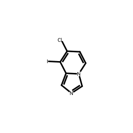 Clc1ccn2cncc2c1I